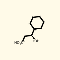 O=C(O)C[C@H](O)C1CCCCC1